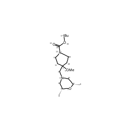 COC1(CN2C[C@@H](C)O[C@@H](C)C2)CCN(C(=O)OC(C)(C)C)CC1